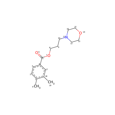 Cc1ccc(C(=O)OCCCN2CCOCC2)cc1C